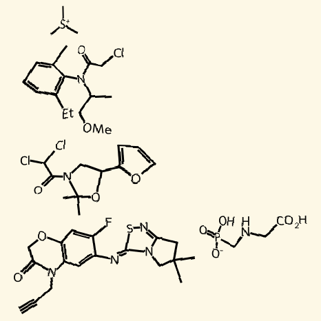 C#CCN1C(=O)COc2cc(F)c(/N=c3\snc4n3CC(C)(C)C4)cc21.CC1(C)OC(c2ccco2)CN1C(=O)C(Cl)Cl.CCc1cccc(C)c1N(C(=O)CCl)C(C)COC.C[S+](C)C.O=C(O)CNCP(=O)([O-])O